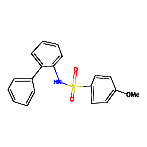 COc1ccc(S(=O)(=O)Nc2ccccc2-c2ccccc2)cc1